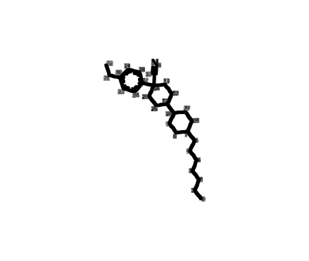 CCCCCCCC1CCC(C2CCC(C#N)(c3ccc(CC)cc3)CC2)CC1